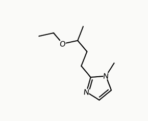 CCOC(C)CCc1nccn1C